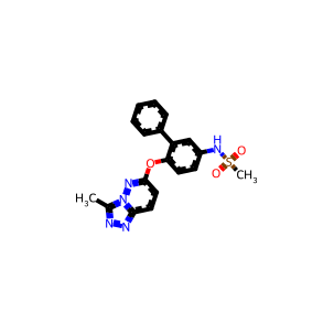 Cc1nnc2ccc(Oc3ccc(NS(C)(=O)=O)cc3-c3ccccc3)nn12